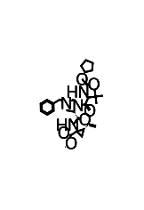 C=C[C@@H]1C[C@]1(NC(=O)[C@@H]1CN(Cc2ccccc2)CN1C(=O)[C@@H](NC(=O)OC1CCCC1)C(C)(C)C)C(=O)OC